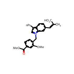 CCCc1cn(Cc2ccc(C(=O)OC)cc2OC)c2cc(/C=C(/C)C(=O)O)ccc12